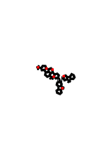 CC(C)(C)c1ccc2c(c1)-c1ccc3c4c(ccc-2c14)-c1ccc(N(c2ccc4c(c2)C(C)(C)c2ccccc2-4)c2ccc4c(c2)C(C)(C)c2ccccc2-4)cc1C3(C)C